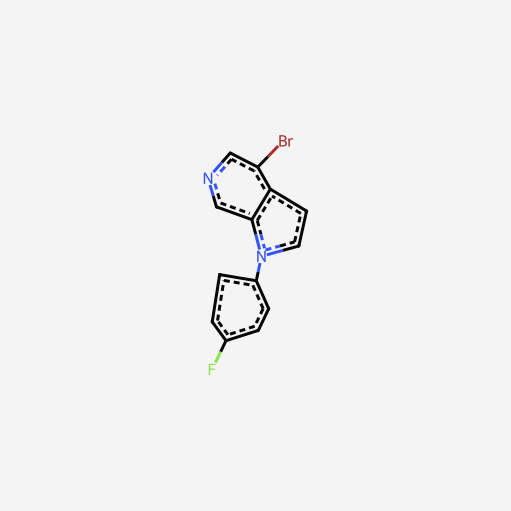 Fc1ccc(-n2ccc3c(Br)cncc32)cc1